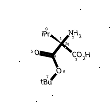 CC(C)[C@@](N)(C(=O)O)C(=O)OC(C)(C)C